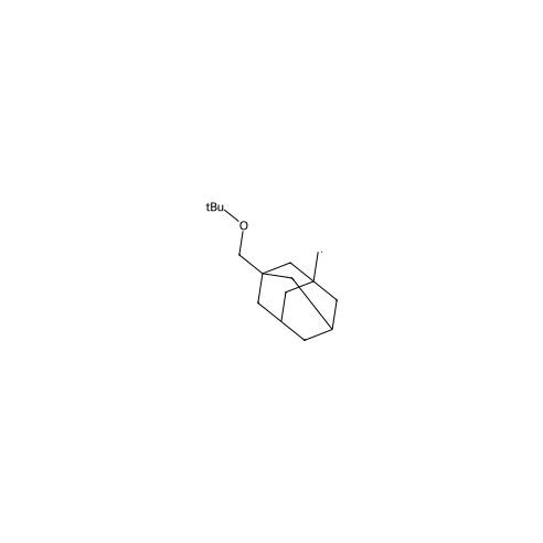 [CH2]C12CC3CC(C1)CC(COC(C)(C)C)(C3)C2